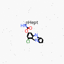 CCCCCCCNC(=O)Oc1cc(Cl)c2c(c1)N=C1C3C=CC(C3)N1C2